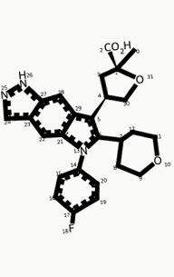 C[C@@]1(C(=O)O)C[C@H](c2c(C3CCOCC3)n(-c3ccc(F)cc3)c3cc4cn[nH]c4cc23)CO1